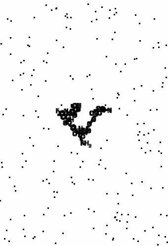 CC[C@@]1(O)C(=O)OCc2c1cc1n(c2=O)Cc2c-1nc1cc(F)c(C)c3c1c2C(NC(=O)OCc1ccc(NC(=O)[C@H](CCCCN)NC(=O)[C@H](C)NC(=O)CCOCCOCCN2C(=O)C=C(Oc4ccc(C#N)cc4)C2=O)cc1)CC3